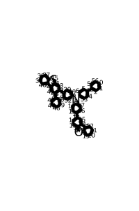 c1ccc(-c2ccc(N(c3ccc(-c4ccc5oc6ccccc6c5c4)cc3)c3ccc(-c4cc5sc6ccccc6c5cc4-c4ccccc4)cc3)cc2)cc1